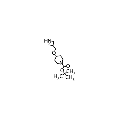 CC(C)(C)OC(=O)N1CCC(OCC2CNC2)CC1